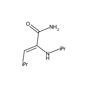 CC(C)C=C(NC(C)C)C(N)=O